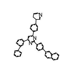 C1=CN=CC(c2ccc(-c3cc(-c4cccc(-c5ccccc5)c4)nc(-c4ccc(-c5ccc6ccccc6c5)cc4)n3)cc2)C1